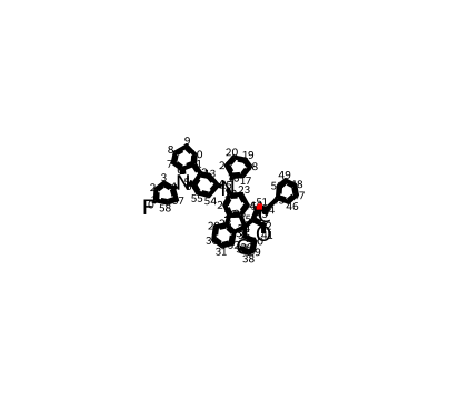 Fc1ccc(-n2c3ccccc3c3cc(N(c4ccccc4)c4ccc5c(c4)-c4ccccc4C54c5ccccc5Oc5cc(-c6ccccc6)ccc54)ccc32)cc1